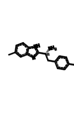 Cc1ccc2[nH]c([C@H](N)Cc3ccc(Br)cc3)nc2c1